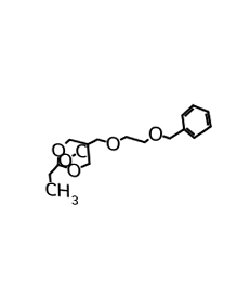 CCC12OCC(COCCOCc3ccccc3)(CO1)CO2